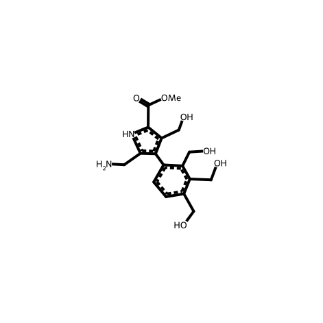 COC(=O)c1[nH]c(CN)c(-c2ccc(CO)c(CO)c2CO)c1CO